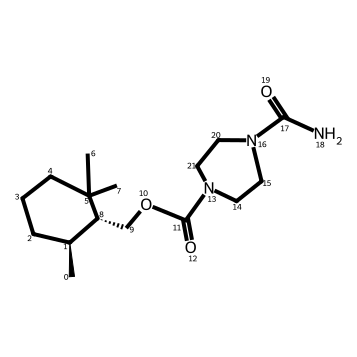 C[C@H]1CCCC(C)(C)[C@@H]1COC(=O)N1CCN(C(N)=O)CC1